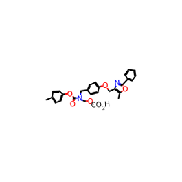 Cc1ccc(OC(=O)N(COC(=O)O)Cc2ccc(OCc3nc(-c4ccccc4)oc3C)cc2)cc1